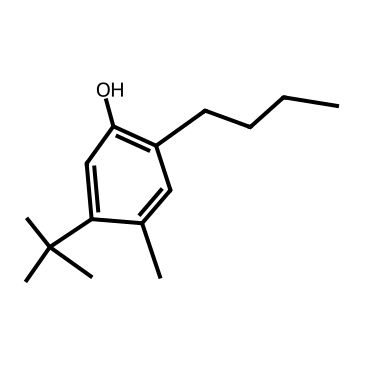 CCCCc1cc(C)c(C(C)(C)C)cc1O